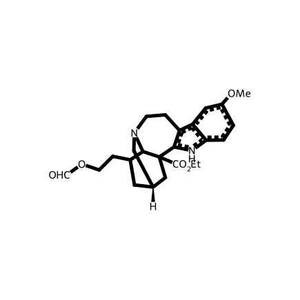 CCOC(=O)C12C[C@@H]3CC(CCOC=O)C1N(CCc1c2[nH]c2ccc(OC)cc12)C3